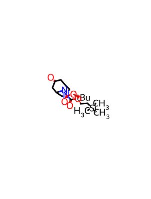 CC(C)(C)OC(=O)N1C2CC(=O)CC1CN(C(=O)OCC[Si](C)(C)C)C2